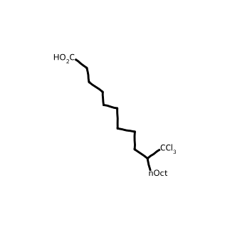 CCCCCCCCC(CCCCCCCCC(=O)O)C(Cl)(Cl)Cl